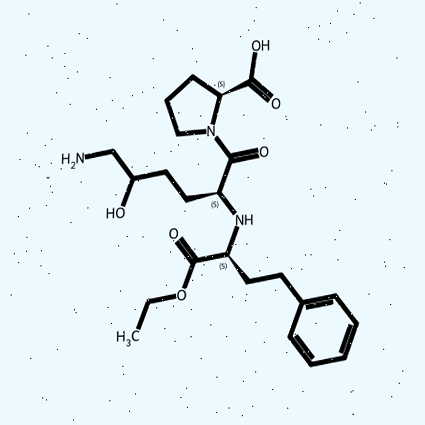 CCOC(=O)[C@H](CCc1ccccc1)N[C@@H](CCC(O)CN)C(=O)N1CCC[C@H]1C(=O)O